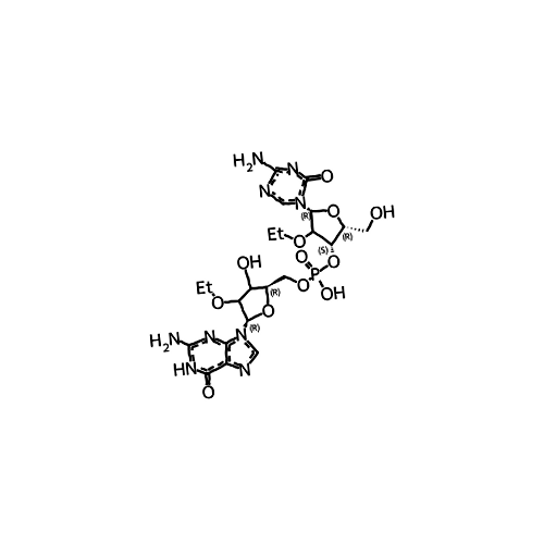 CCOC1[C@@H](OP(=O)(O)OC[C@H]2O[C@@H](n3cnc4c(=O)[nH]c(N)nc43)C(OCC)C2O)[C@@H](CO)O[C@H]1n1cnc(N)nc1=O